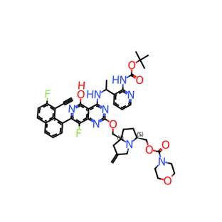 C#Cc1c(F)ccc2cccc(-c3nc(O)c4c(NC(C)c5cccnc5NC(=O)OC(C)(C)C)nc(OC[C@@]56CC[C@@H](COC(=O)N7CCOCC7)N5CC(=C)C6)nc4c3F)c12